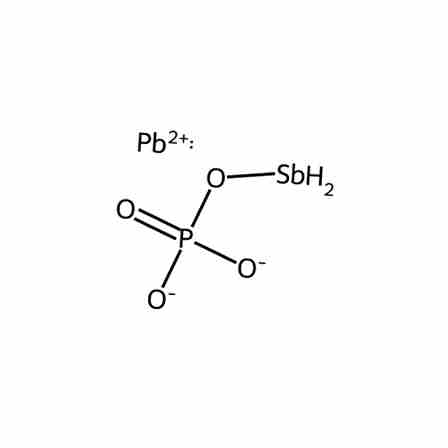 O=P([O-])([O-])[O][SbH2].[Pb+2]